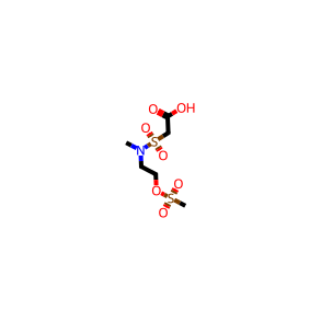 CN(CCOS(C)(=O)=O)S(=O)(=O)CC(=O)O